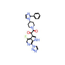 O=C(C(=O)N1CCC(n2ccnc2-c2ccccc2)CC1)c1c[nH]c2c(-n3ccnn3)ncc(F)c12